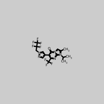 Cc1cn2c(=O)c(-c3cnn(CC(F)(F)C(F)(F)F)c3)c(C(F)(F)F)nc2n1C(C)C